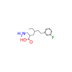 CCC(CCc1cccc(F)c1)CC(CN)C(=O)O